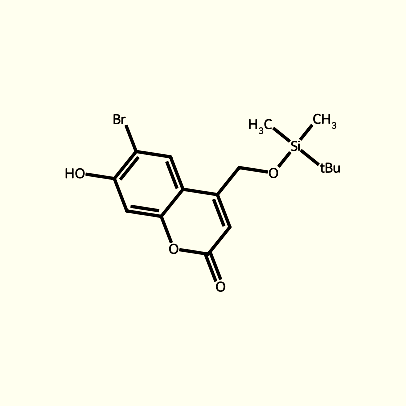 CC(C)(C)[Si](C)(C)OCc1cc(=O)oc2cc(O)c(Br)cc12